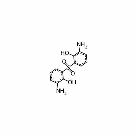 Nc1cccc(S(=O)(=O)c2cccc(N)c2O)c1O